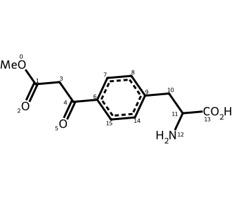 COC(=O)CC(=O)c1ccc(CC(N)C(=O)O)cc1